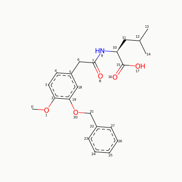 COc1ccc(CC(=O)N[C@@H](CC(C)C)C(=O)O)cc1OCc1ccccc1